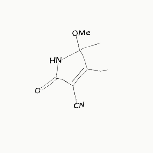 COC1(C)NC(=O)C(C#N)=C1C